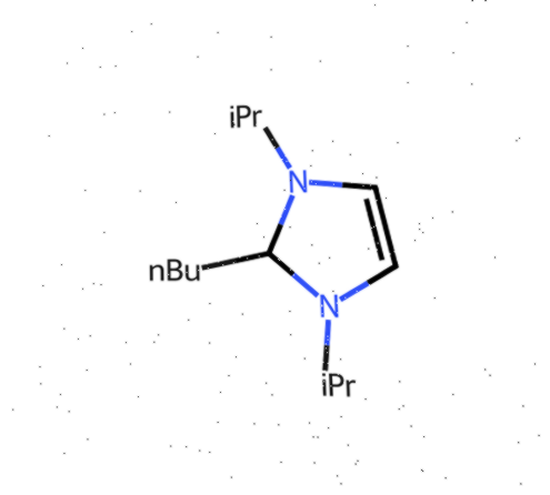 CCCCC1N(C(C)C)C=CN1C(C)C